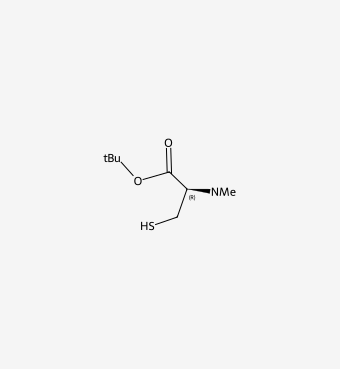 CN[C@@H](CS)C(=O)OC(C)(C)C